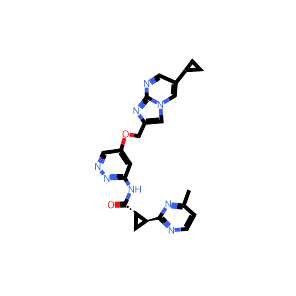 Cc1ccnc([C@H]2C[C@@H]2C(=O)Nc2cc(OCc3cn4cc(C5CC5)cnc4n3)cnn2)n1